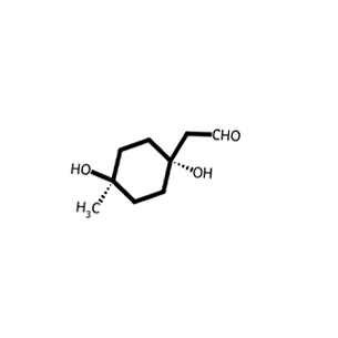 C[C@]1(O)CC[C@@](O)(CC=O)CC1